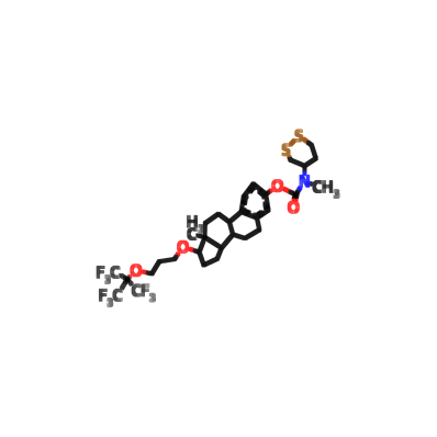 CN(C(=O)Oc1ccc2c(c1)CCC1C2CCC2(C)C(OCCCOC(C(F)(F)F)(C(F)(F)F)C(F)(F)F)CCC12)C1CCSSC1